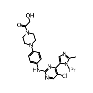 Cc1ncc(-c2nc(Nc3ccc(N4CCN(C(=O)CO)CC4)cc3)ncc2Cl)n1C(C)C